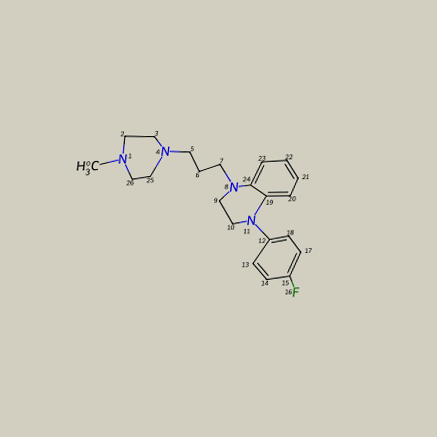 CN1CCN(CCCN2CCN(c3ccc(F)cc3)c3ccccc32)CC1